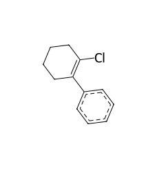 ClC1=C(c2ccccc2)CCCC1